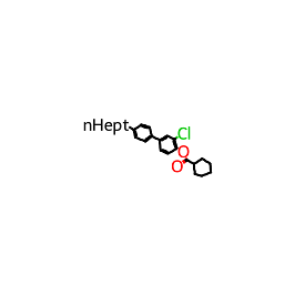 CCCCCCCc1ccc(-c2ccc(OC(=O)C3CCCCC3)c(Cl)c2)cc1